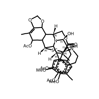 COc1cc2c(cc1OC(C)=O)CCN[C@]21CS[C@@H]2C3C(OC(C)=O)C(C)=C4OCOC4C3[C@H](COC1=O)N1C2[C@H]2c3c(cc(C)c(OC)c3OC(C)=O)C[C@@H]([C@@H]1O)N2C